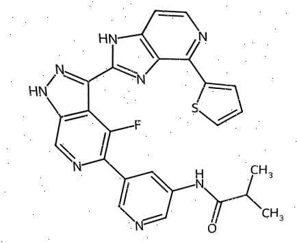 CC(C)C(=O)Nc1cncc(-c2ncc3[nH]nc(-c4nc5c(-c6cccs6)nccc5[nH]4)c3c2F)c1